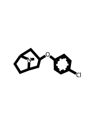 CN1C2CCC1CC(Oc1ccc(Cl)cc1)C2